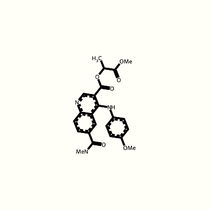 CNC(=O)c1ccc2ncc(C(=O)OC(C)C(=O)OC)c(Nc3ccc(OC)cc3)c2c1